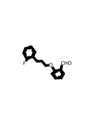 O=Cc1ccccc1OCCCc1ccccc1F